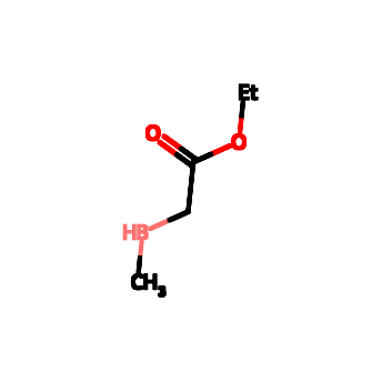 CBCC(=O)OCC